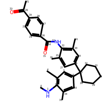 CNc1c(C)cc(C2(c3cc(C)c(NC(=O)c4ccc(C(C)=O)cc4)c(C)c3)CCCCC2)cc1C